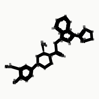 COc1cc(N2CCN(C(=O)Cn3nc(C4=NCCN4)c4cccnc43)[C@@H](C)C2)ccc1Cl